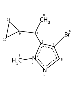 CC(c1c(Br)cnn1C)C1CC1